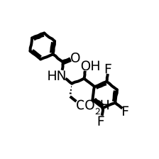 O=C(O)C[C@H](NC(=O)c1ccccc1)C(O)c1cc(F)c(F)cc1F